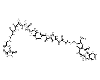 COc1cc2c(cc1OCCCC(=O)Nc1cc(C(=O)Nc3ccc4sc(NC(=O)[C@H](C)NC(=O)[C@H](C)NC(=O)CCCCC(=O)ON5C(=O)CCC5=O)cc4c3)n(C)c1)N=C[C@@H]1Cc3ccccc3N1C2=O